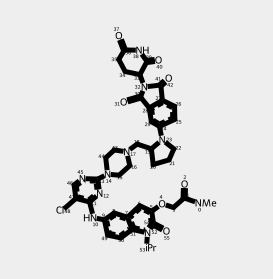 CNC(=O)COc1cc2cc(Nc3nc(N4CCN(CC5CCCN5c5ccc6c(c5)C(=O)N(C5CCC(=O)NC5=O)C6=O)CC4)ncc3Cl)ccc2n(C(C)C)c1=O